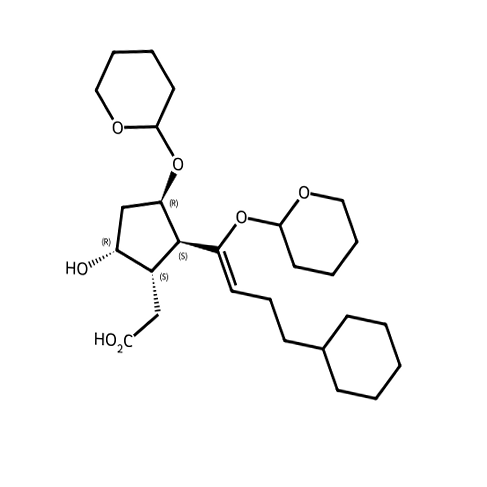 O=C(O)C[C@H]1[C@H](C(=CCCC2CCCCC2)OC2CCCCO2)[C@H](OC2CCCCO2)C[C@H]1O